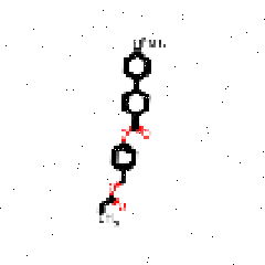 C=CC(=O)OCc1ccc(OC(=O)C2CCC(C3CCC(CCCCC)CC3)CC2)cc1